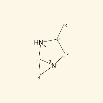 CC1CN2CC2N1